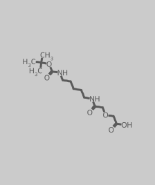 CC(C)(C)OC(=O)NCCCCCNC(=O)COCC(=O)O